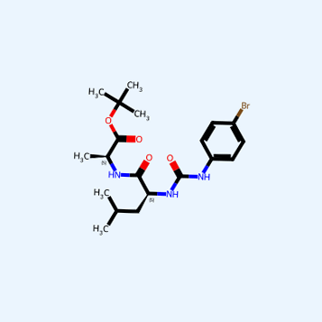 CC(C)C[C@H](NC(=O)Nc1ccc(Br)cc1)C(=O)N[C@@H](C)C(=O)OC(C)(C)C